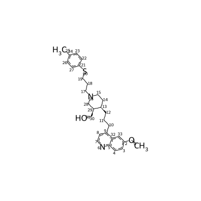 COc1ccc2nccc(CCC[C@@H]3CCN(CCCSc4ccc(C)cc4)C[C@@H]3CO)c2c1